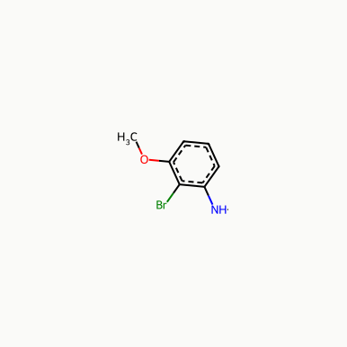 COc1cccc([NH])c1Br